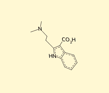 CN(C)CCc1[nH]c2ccccc2c1C(=O)O